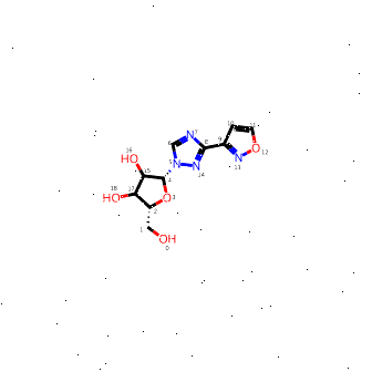 OC[C@H]1O[C@@H](n2cnc(-c3ccon3)n2)C(O)C1O